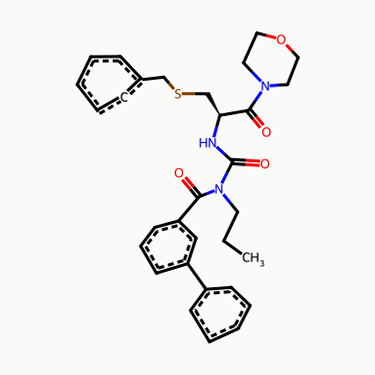 CCCN(C(=O)N[C@@H](CSCc1ccccc1)C(=O)N1CCOCC1)C(=O)c1cccc(-c2ccccc2)c1